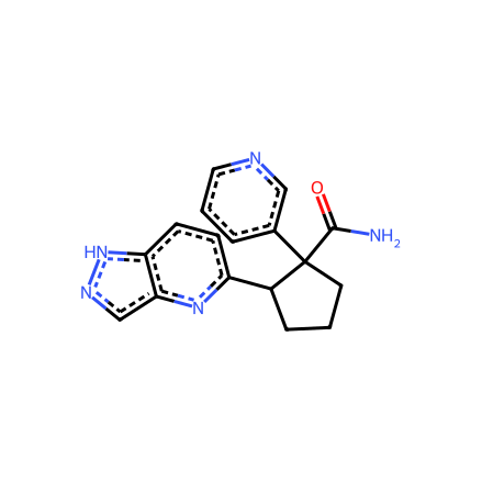 NC(=O)C1(c2cccnc2)CCCC1c1ccc2[nH]ncc2n1